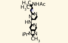 CC(=O)NC(C)(C)/C=C/c1nccc(Nc2cc3c(cn2)nc(C)n3C(C)C)n1